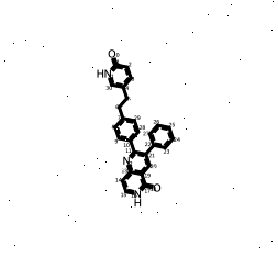 O=c1ccc(CCc2ccc(-c3nc4cc[nH]c(=O)c4cc3-c3ccccc3)cc2)c[nH]1